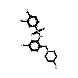 O=S(=O)(Nc1cc(F)ccc1CN1CCC(F)CC1)c1ccc(Cl)c(Cl)c1